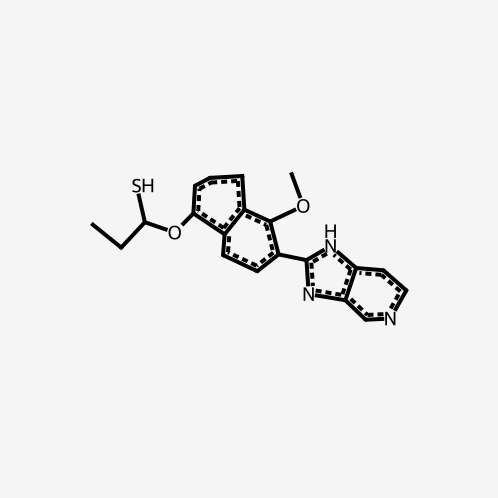 CCC(S)Oc1cccc2c(OC)c(-c3nc4cnccc4[nH]3)ccc12